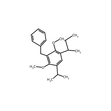 CCC(C)c1[c]c(C(C)C)c(OC)c(Cc2ccccc2)c1OC